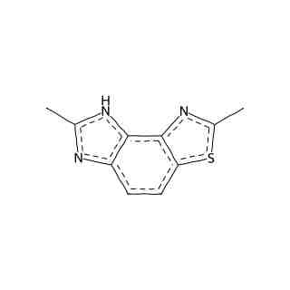 Cc1nc2ccc3sc(C)nc3c2[nH]1